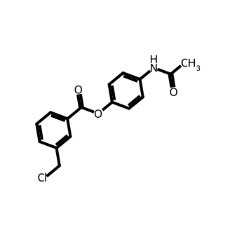 CC(=O)Nc1ccc(OC(=O)c2cccc(CCl)c2)cc1